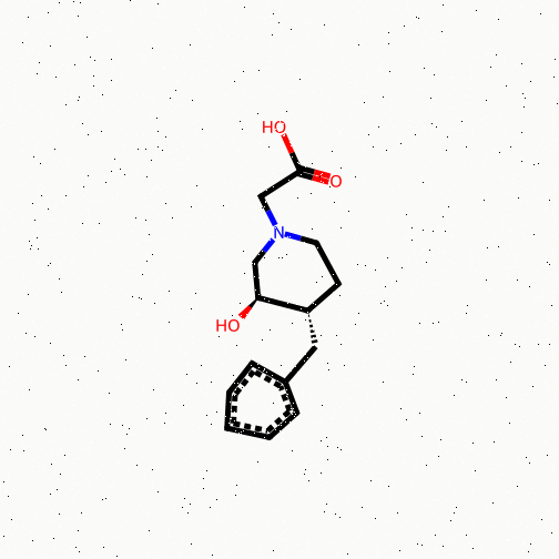 O=C(O)CN1CC[C@H](Cc2ccccc2)[C@@H](O)C1